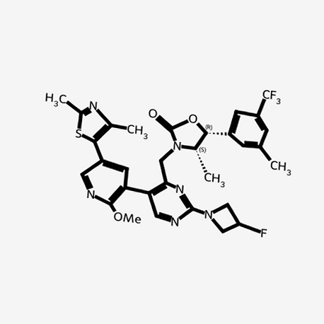 COc1ncc(-c2sc(C)nc2C)cc1-c1cnc(N2CC(F)C2)nc1CN1C(=O)O[C@H](c2cc(C)cc(C(F)(F)F)c2)[C@@H]1C